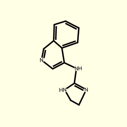 c1ccc2c(NC3=NCCN3)cncc2c1